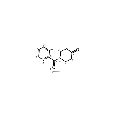 C=C.O=C1CCN(C(=O)c2cnccn2)CC1